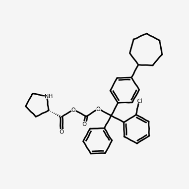 O=C(OC(=O)[C@@H]1CCCN1)OC(c1ccccc1)(c1ccc(C2CCCCCC2)cc1)c1ccccc1Cl